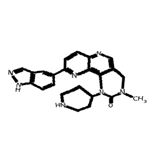 CN1Cc2cnc3ccc(-c4ccc5[nH]ncc5c4)nc3c2N(C2CCNCC2)C1=O